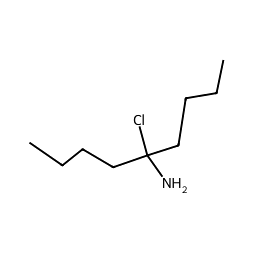 CCCCC(N)(Cl)CCCC